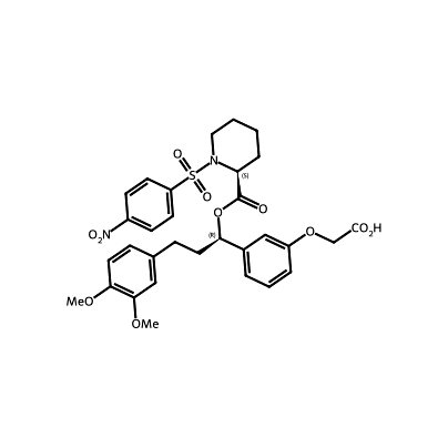 COc1ccc(CC[C@@H](OC(=O)[C@@H]2CCCCN2S(=O)(=O)c2ccc([N+](=O)[O-])cc2)c2cccc(OCC(=O)O)c2)cc1OC